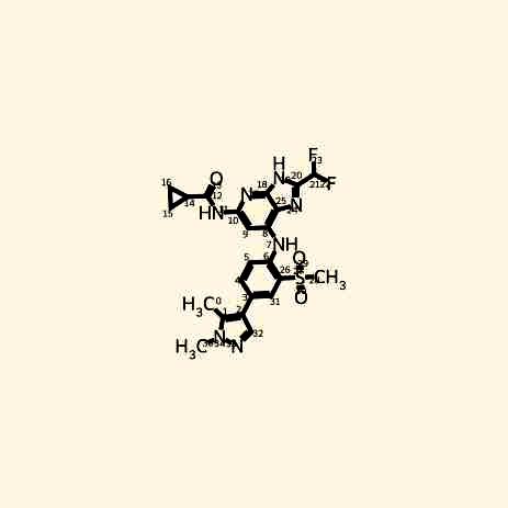 Cc1c(-c2ccc(Nc3cc(NC(=O)C4CC4)nc4[nH]c(C(F)F)nc34)c(S(C)(=O)=O)c2)cnn1C